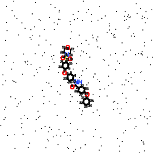 O=C(Nc1ccc(Oc2ccc(S(=O)(=O)N3CCOCC3)cc2)cc1)c1ccc(Oc2ccccc2)cc1